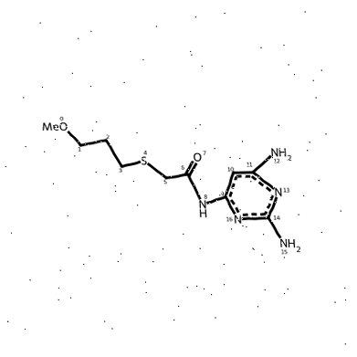 COCCCSCC(=O)Nc1cc(N)nc(N)n1